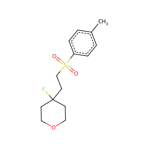 Cc1ccc(S(=O)(=O)CCC2(F)CCOCC2)cc1